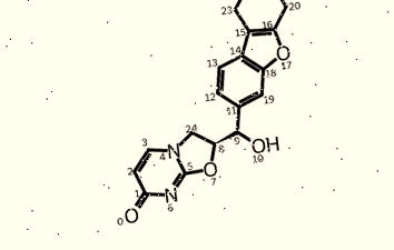 O=c1ccn2c(n1)O[C@H](C(O)c1ccc3c4c(oc3c1)CCCC4)C2